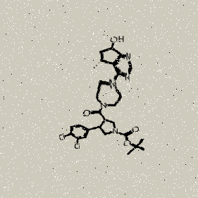 C[C@@H]1C[C@@H](O)c2ncnc(N3CCN(C(=O)C4CN(C(=O)OC(C)(C)C)CC4c4ccc(Cl)c(Cl)c4)CC3)c21